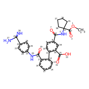 COC(=O)C1(NC(=O)c2ccc(-c3ccccc3C(=O)Nc3ccc(C(=N)N)cc3)c(C(=O)O)c2)CCCC1